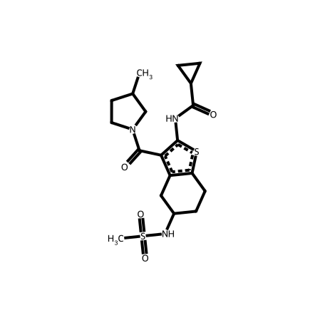 CC1CCN(C(=O)c2c(NC(=O)C3CC3)sc3c2CC(NS(C)(=O)=O)CC3)C1